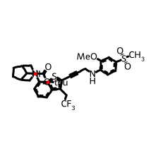 COc1cc(S(C)(=O)=O)ccc1NCC#Cc1sc2c(NC3C4CCC3CN(C(=O)OC(C)(C)C)C4)cccc2c1CC(F)(F)F